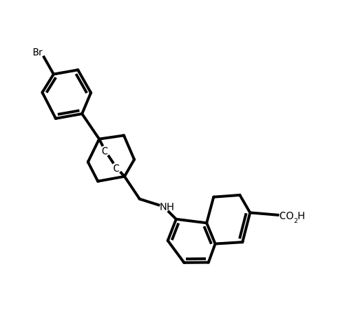 O=C(O)C1=Cc2cccc(NCC34CCC(c5ccc(Br)cc5)(CC3)CC4)c2CC1